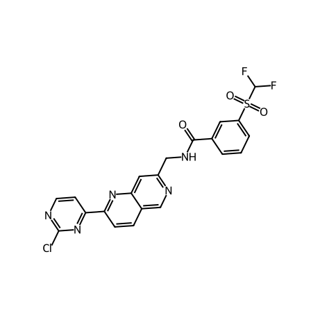 O=C(NCc1cc2nc(-c3ccnc(Cl)n3)ccc2cn1)c1cccc(S(=O)(=O)C(F)F)c1